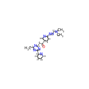 Cc1nc(CC(=O)c2ccc(NCCN(C)C)nc2)nc(-c2ccccn2)n1